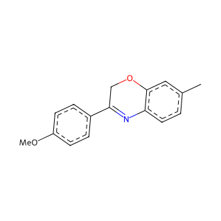 COc1ccc(C2=Nc3ccc(C)cc3OC2)cc1